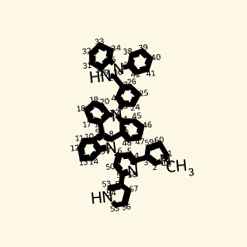 CN1C=C(c2cc(-n3c4c(c5ccccc53)-c3ccccc3N(c3cccc(C5Nc6ccccc6N5c5ccccc5)c3)c3ccccc3-4)cc(C3=CNCC=C3)n2)C=CC1